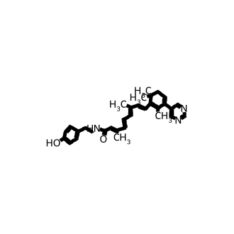 CC(C=CC1=C(C)C(c2cncnc2)=CCC1(C)C)=CC=CC(C)=CC(=O)NCCc1ccc(O)cc1